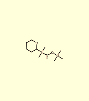 C[Si](C)(C)ON[Si](C)(C)C1CCCCO1